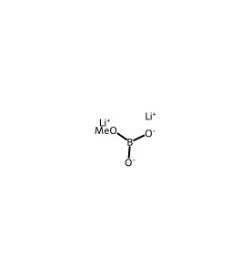 COB([O-])[O-].[Li+].[Li+]